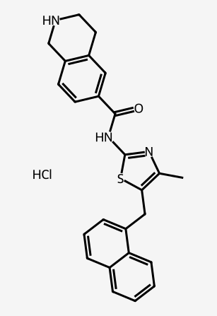 Cc1nc(NC(=O)c2ccc3c(c2)CCNC3)sc1Cc1cccc2ccccc12.Cl